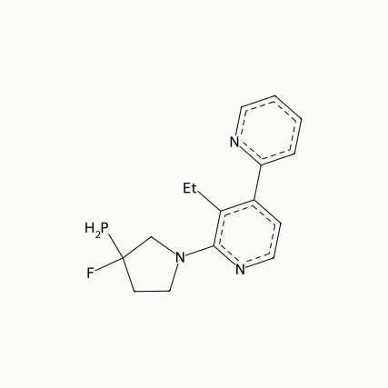 CCc1c(-c2ccccn2)ccnc1N1CCC(F)(P)C1